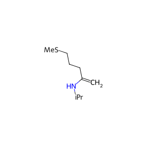 C=C(CCCSC)NC(C)C